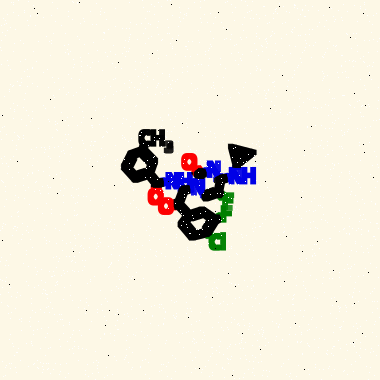 Cc1cccc(C(=O)NC(C(=O)c2ccc(Cl)c(F)c2)n2cc(F)c(NC3CC3)nc2=O)c1